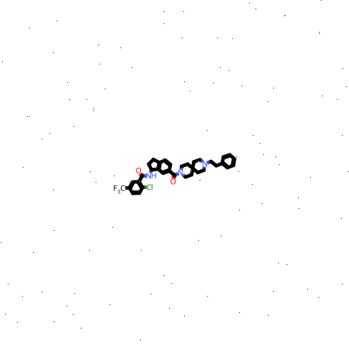 O=C(NC1CCc2ccc(C(=O)N3CCC4(CCN(CCc5ccccc5)CC4)CC3)cc21)c1cc(C(F)(F)F)ccc1Cl